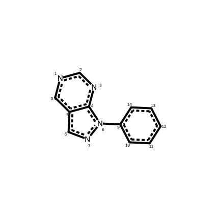 [c]1ncnc2c1cnn2-c1ccccc1